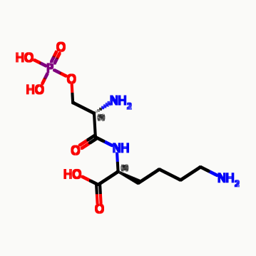 NCCCC[C@H](NC(=O)[C@@H](N)COP(=O)(O)O)C(=O)O